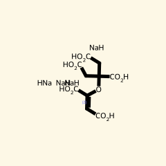 O=C(O)/C=C(\OC(CC(=O)O)(CC(=O)O)C(=O)O)C(=O)O.[NaH].[NaH].[NaH].[NaH]